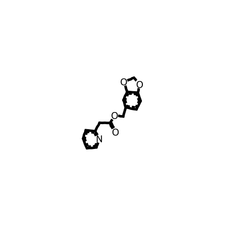 O=C(Cc1ccccn1)OCc1ccc2c(c1)OCO2